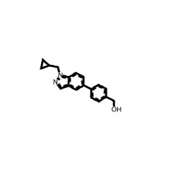 OCc1ccc(-c2ccc3c(cnn3CC3CC3)c2)cc1